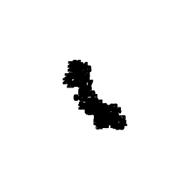 C=Cc1c(Oc2cccc(N(c3ccccc3)c3ccccc3C3C=CC=CC3)c2)ccc2c1C(=C)Oc1cc(N(C3=CCCc4c3oc3ccccc43)c3ccccc3)ccc1-2